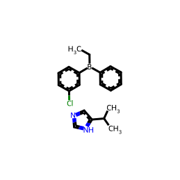 CC(C)c1cnc[nH]1.CCB(c1ccccc1)c1cccc(Cl)c1